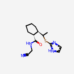 CC(Sc1ncc[nH]1)[C@@H]1CCCC[C@H]1C(=O)NCC#N